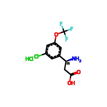 Cl.N[C@@H](CC(=O)O)c1cc(Cl)cc(OC(F)(F)F)c1